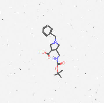 CC(C)(C)OC(=O)NCC1CN(Cc2ccccc2)CC1C(=O)O